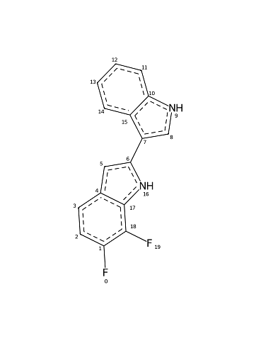 Fc1ccc2cc(-c3c[nH]c4ccccc34)[nH]c2c1F